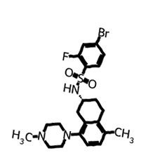 Cc1ccc(N2CCN(C)CC2)c2c1CC[C@@H](NS(=O)(=O)c1ccc(Br)cc1F)C2